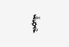 C=CC(=O)OCC1CCC(COCC(O)C=C)CC1